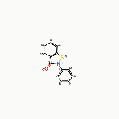 O=c1c2c(sn1-c1ccccc1)C=CCC2